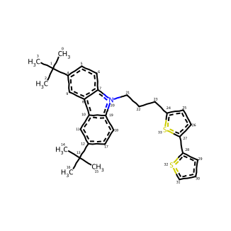 CC(C)(C)c1ccc2c(c1)c1cc(C(C)(C)C)ccc1n2CCCc1ccc(-c2cccs2)s1